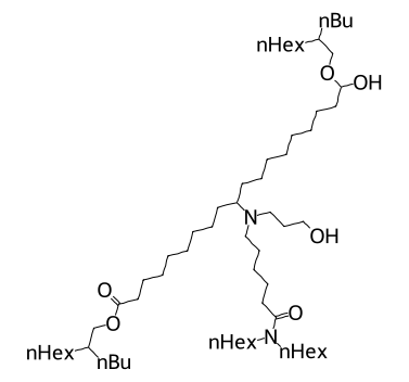 CCCCCCC(CCCC)COC(=O)CCCCCCCCC(CCCCCCCCC(O)OCC(CCCC)CCCCCC)N(CCCO)CCCCCC(=O)N(CCCCCC)CCCCCC